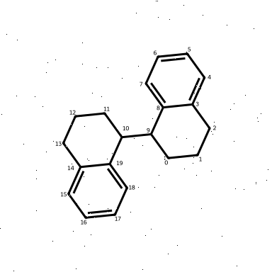 [C]1CCc2ccccc2C1C1CCCc2ccccc21